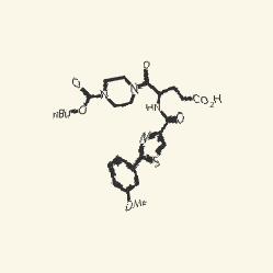 CCCCOC(=O)N1CCN(C(=O)C(CCC(=O)O)NC(=O)c2csc(-c3cccc(OC)c3)n2)CC1